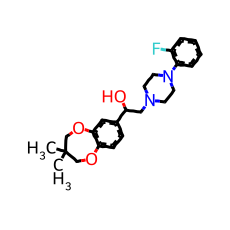 CC1(C)COc2ccc(C(O)CN3CCN(c4ccccc4F)CC3)cc2OC1